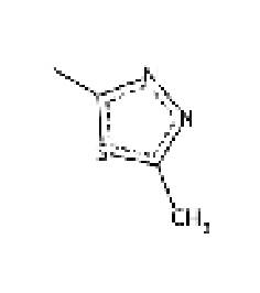 Cc1nnc(I)s1